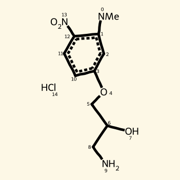 CNc1cc(OCC(O)CN)ccc1[N+](=O)[O-].Cl